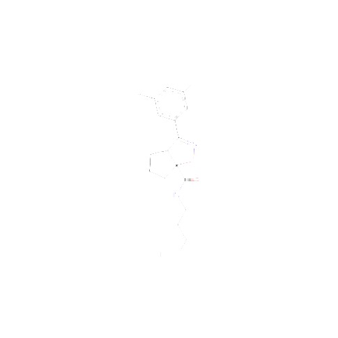 O=C(O)CCCNC(=O)C12CCCC1C(c1cc(Cl)cc(Cl)c1)=NO2